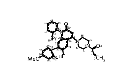 C=CC(=O)N1CCN(c2cc(=O)n(-c3ccccc3C(C)C)c3cc(-c4ccc(OC)cc4F)c(F)cc23)CC1